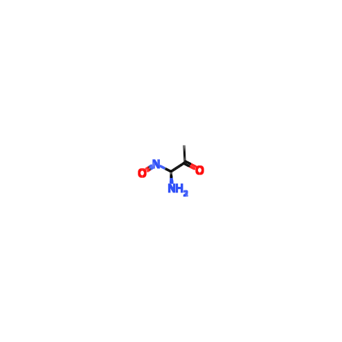 CC(=O)[C@@H](N)N=O